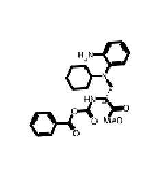 COC(=O)[C@@H](CN(c1ccccc1N)C1CCCCC1)NC(=O)OC(=O)c1ccccc1